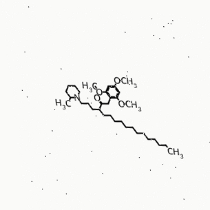 CCCCCCCCCCCCCC(CCCN1CCCCC1C)C(=O)Cc1c(OC)cc(OC)cc1OC